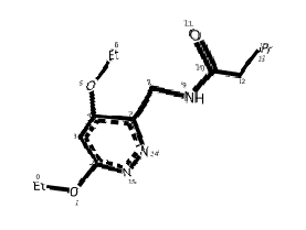 CCOc1cc(OCC)c(CNC(=O)CC(C)C)nn1